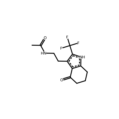 CC(=O)NCCc1c(C(F)(F)F)[nH]c2c1C(=O)CCC2